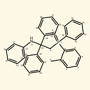 Cc1ccccc1P(=O)(CC(Nc1ccccc1)(c1ccccc1)c1ccccc1)c1ccccc1